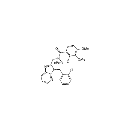 CCCCCN(Cc1nc2cccnc2n1Cc1ccccc1Cl)C(=O)c1ccc(OC)c(OC)c1Cl